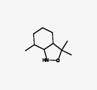 CC1CCCC2C1NOC2(C)C